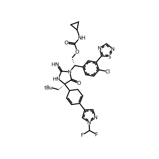 CC(C)(C)C[C@]1(C2C=CC(c3cnn(C(F)F)c3)=CC2)NC(=N)N([C@H](COC(=O)NC2CC2)c2ccc(Cl)c(-c3ncns3)c2)C1=O